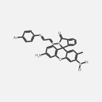 CCN(CC)c1cc2c(cc1C)C1(c3ccc(N)cc3O2)c2ccccc2C(=O)N1/N=C/C=N/c1ccc(C(C)=O)cc1